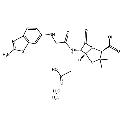 CC(=O)O.CC1(C)S[C@@H]2[C@H](NC(=O)CNc3ccc4nc(N)sc4c3)C(=O)N2[C@H]1C(=O)O.O.O